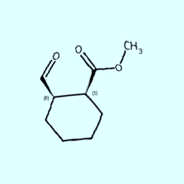 COC(=O)[C@H]1CCCC[C@H]1C=O